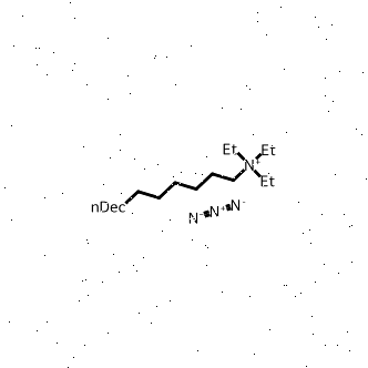 CCCCCCCCCCCCCCCC[N+](CC)(CC)CC.[N-]=[N+]=[N-]